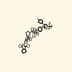 Cc1ccc(-c2cc(C(F)(F)F)nn2-c2ccc(S(=O)(=O)NC(=O)C3CCCN([N+]([O-])=NOCN4C(=O)c5ccccc5C4=O)C3)cc2)cc1